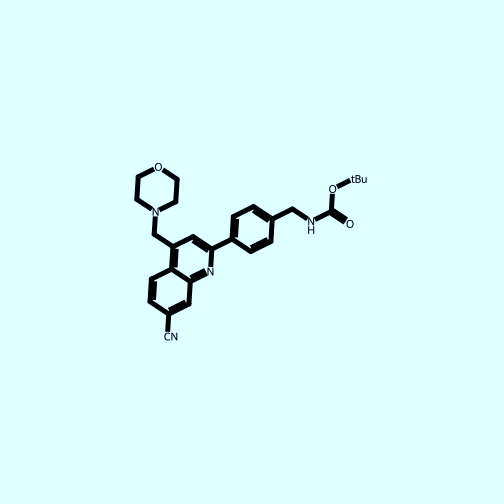 CC(C)(C)OC(=O)NCc1ccc(-c2cc(CN3CCOCC3)c3ccc(C#N)cc3n2)cc1